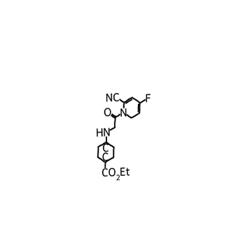 CCOC(=O)C12CCC(NCC(=O)N3CC=C(F)C=C3C#N)(CC1)CC2